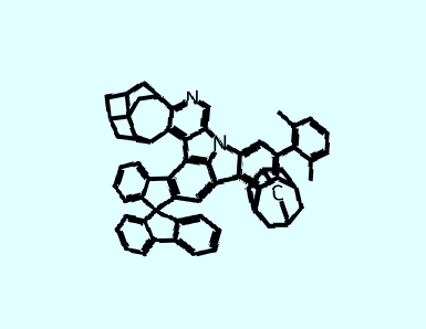 Cc1cccc(C)c1-c1cc2c(c3c1C1CC4CC(C1)CC3C4)c1cc3c(c4c5c6c(ncc5n2c14)C1CC2CC4CC6CC24C1)-c1ccccc1C31c2ccccc2-c2ccccc21